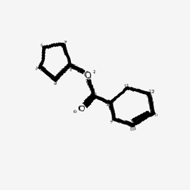 O=C(OC1CCCC1)C1CC=CCC1